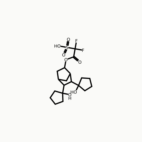 O=C(OC1CC2CC1C(C1(O)CCCC1)C2C1(O)CCCC1)C(F)(F)S(=O)(=O)O